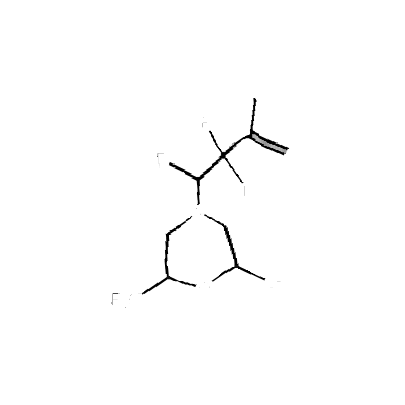 C=C(C)C(F)(F)C(F)N1CC(C(F)(F)F)OC(C(F)(F)F)C1